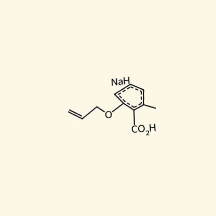 C=CCOc1cccc(C)c1C(=O)O.[NaH]